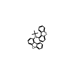 CC(C)(C)N(c1cccc2oc3ccccc3c12)c1cccc2sc3ccccc3c12